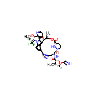 CO[C@@H](C)c1ncccc1-c1c2c3cc(ccc3n1CC(F)(F)F)-c1nc(ns1)C[C@H](NC(=O)[C@@H](COC1CNC1)C(C)C)C(=O)N1CCC[C@H](N1)C(=O)OCC(C)(C)C2